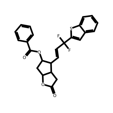 O=C1CC2C(CC(OC(=O)c3ccccc3)C2C=CC(F)(F)c2cc3ccccc3s2)O1